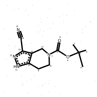 CC(C)(C)OC(=O)N1CCc2[nH]nc(C#N)c2C1